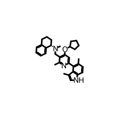 Cc1ccc2[nH]cc(C)c2c1-c1cc(OC2CCCC2)c(CN(C)[C@H]2CCCc3ccccc32)c(C)n1